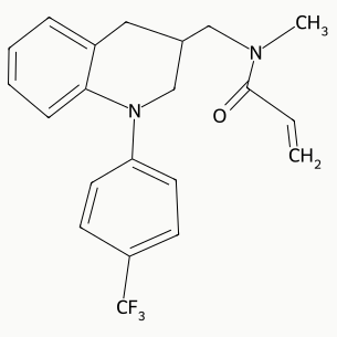 C=CC(=O)N(C)CC1Cc2ccccc2N(c2ccc(C(F)(F)F)cc2)C1